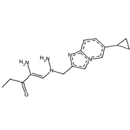 CCC(=O)/C(N)=C/N(N)Cc1cn2cc(C3CC3)ccc2n1